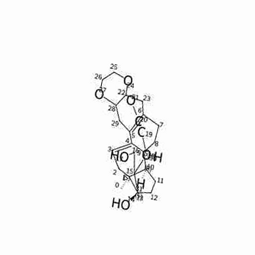 C[C@]12CC=C3C4=C5CC[C@H]3[C@H]1CC[C@@]2(O)C(CO)OCCOC1(C5)OCCOC1C4